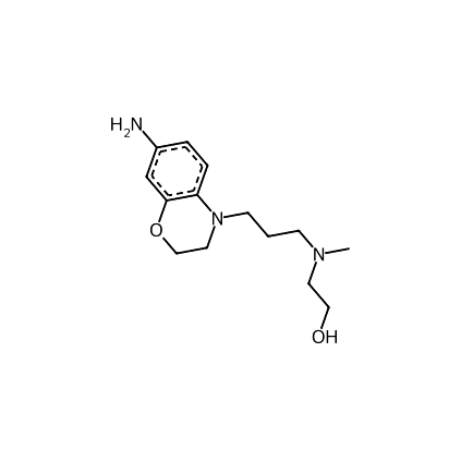 CN(CCO)CCCN1CCOc2cc(N)ccc21